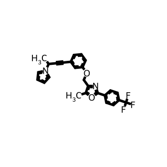 Cc1oc(-c2ccc(C(F)(F)F)cc2)nc1COc1cccc(C#CC(C)n2cccc2)c1